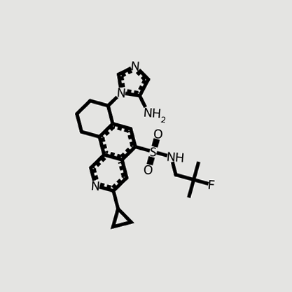 CC(C)(F)CNS(=O)(=O)c1cc2c(c3cnc(C4CC4)cc13)CCCC2n1cncc1N